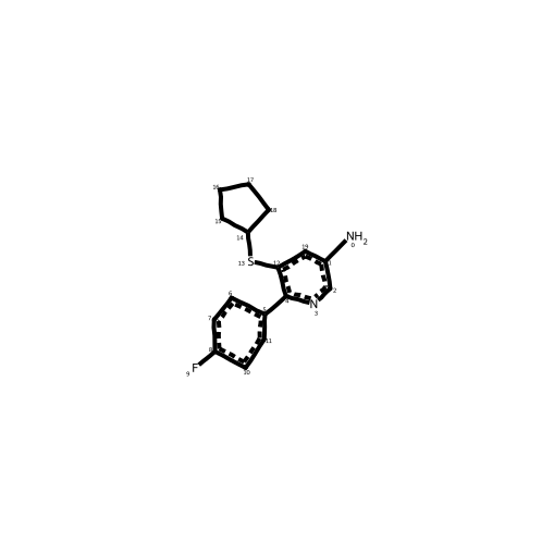 Nc1cnc(-c2ccc(F)cc2)c(SC2CCCC2)c1